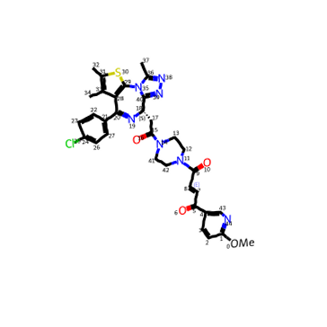 COc1ccc(C(=O)/C=C/C(=O)N2CCN(C(=O)C[C@@H]3N=C(c4ccc(Cl)cc4)c4c(sc(C)c4C)-n4c(C)nnc43)CC2)cn1